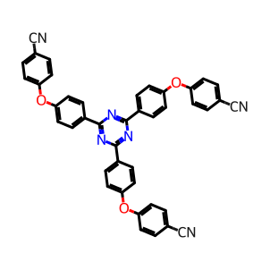 N#Cc1ccc(Oc2ccc(-c3nc(-c4ccc(Oc5ccc(C#N)cc5)cc4)nc(-c4ccc(Oc5ccc(C#N)cc5)cc4)n3)cc2)cc1